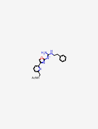 CC(=O)NCc1cccc(-c2coc(/N=C(\N)NCCc3ccccc3)n2)n1